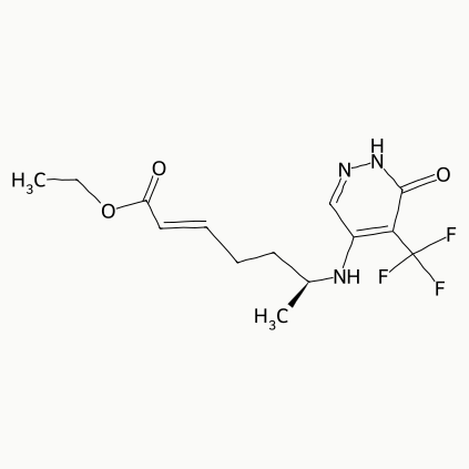 CCOC(=O)/C=C/CC[C@H](C)Nc1cn[nH]c(=O)c1C(F)(F)F